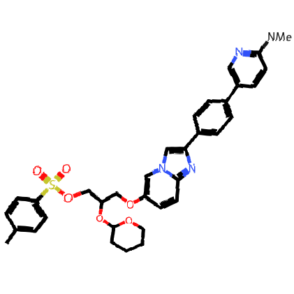 CNc1ccc(-c2ccc(-c3cn4cc(OCC(COS(=O)(=O)c5ccc(C)cc5)OC5CCCCO5)ccc4n3)cc2)cn1